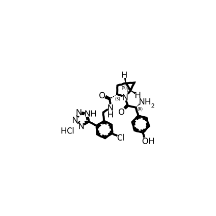 Cl.N[C@@H](C(=O)N1[C@H](C(=O)NCc2cc(Cl)ccc2-c2nnn[nH]2)C[C@@H]2C[C@@H]21)c1ccc(O)cc1